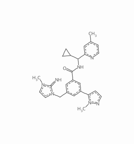 Cc1ccnc(C(NC(=O)c2cc(Cn3ccn(C)c3=N)cc(-c3ccnn3C)c2)C2CC2)c1